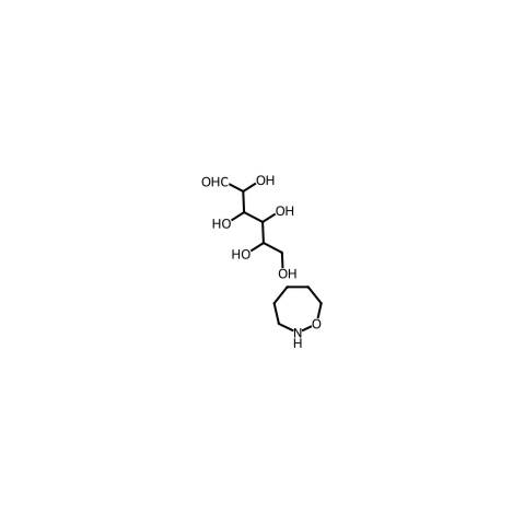 C1CCNOCC1.O=CC(O)C(O)C(O)C(O)CO